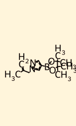 C=C(C)Cn1cc(B2OC(C)(C)C(C)(C)O2)cn1